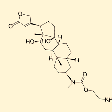 CN(C(=O)OCCN)[C@H]1CC[C@@]2(C)[C@H](CC[C@@H]3[C@@H]2C[C@@H](O)[C@]2(C)[C@@H](C4=CC(=O)OC4)CC[C@]32O)C1